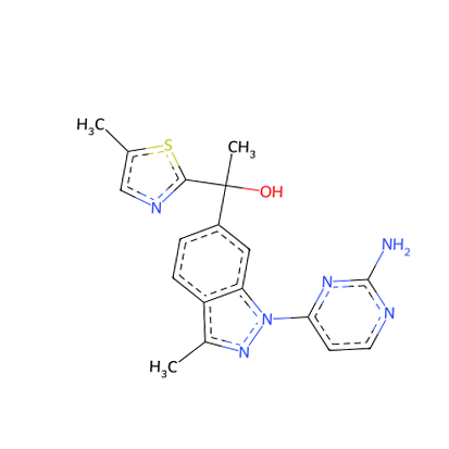 Cc1cnc(C(C)(O)c2ccc3c(C)nn(-c4ccnc(N)n4)c3c2)s1